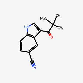 CC(C)(C)C(=O)c1c[nH]c2ccc(C#N)cc12